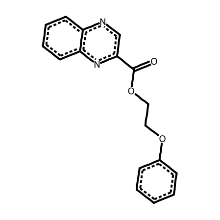 O=C(OCCOc1ccccc1)c1cnc2ccccc2n1